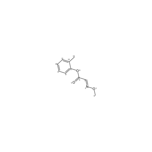 CO/N=C/C(=O)Oc1ccccc1C